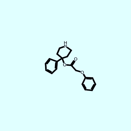 O=C(COc1ccccc1)OC1(c2ccccc2)CCNCC1